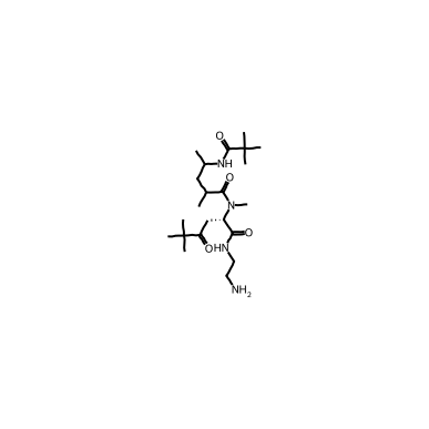 CC(CC(C)C(=O)N(C)[C@@H](CC(=O)C(C)(C)C)C(=O)NCCN)NC(=O)C(C)(C)C